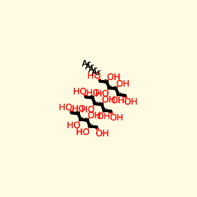 OC[C@@H](O)[C@@H](O)[C@H](O)[C@@H](O)CO.OC[C@@H](O)[C@@H](O)[C@H](O)[C@@H](O)CO.OC[C@@H](O)[C@@H](O)[C@H](O)[C@@H](O)CO.[Ar].[Ar].[Ar].[Ar]